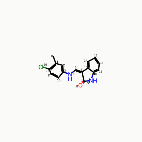 Cc1cc(NC=C2C(=O)Nc3ccccc32)ccc1Cl